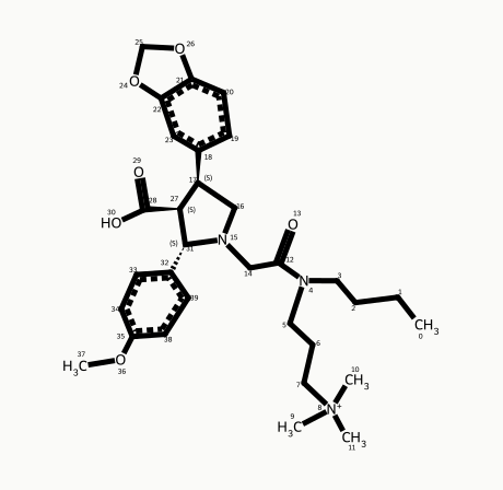 CCCCN(CCC[N+](C)(C)C)C(=O)CN1C[C@H](c2ccc3c(c2)OCO3)[C@H](C(=O)O)[C@H]1c1ccc(OC)cc1